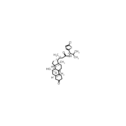 CC(C)[C@@H](NC(=O)C[C@@H](C)[C@H]1CC[C@H]2[C@@H]3[C@@H](O)C[C@@H]4CC(=O)CC[C@]4(C)[C@H]3CC[C@]12C)c1ccc(Cl)s1